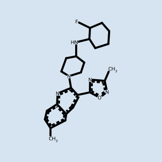 Cc1ccc2nc(N3CCC(NC4CCCCC4F)CC3)c(-c3nc(C)no3)cc2c1